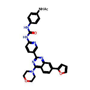 CC(=O)Nc1ccc(NC(=O)Nc2ccc(-c3nc(N4CCOCC4)c4ccc(-c5ccco5)cc4n3)cn2)cc1